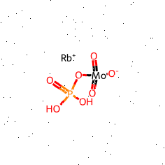 O=P(O)(O)[O][Mo](=[O])(=[O])[O-].[Rb+]